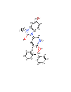 Cn1c(=O)n(-c2ccc(OC(c3ccccc3)c3ccccc3)nc2)c2ccc(Br)cc21